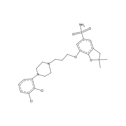 CC1(C)Cc2cc(S(N)(=O)=O)cc(OCCCN3CCN(c4cccc(Cl)c4Cl)CC3)c2O1